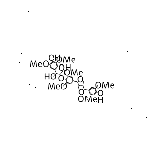 COc1cc(C(O)C(CO)Oc2c(OC)cc(C3OCC4C(c5cc(OC)c(O)c(OC)c5)OCC34)cc2OC)cc(OC)c1O